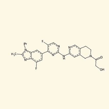 Cc1nc2c(F)cc(-c3nc(Nc4cc5c(cn4)CCN(C(=O)CO)C5)ncc3F)cc2n1C(C)C